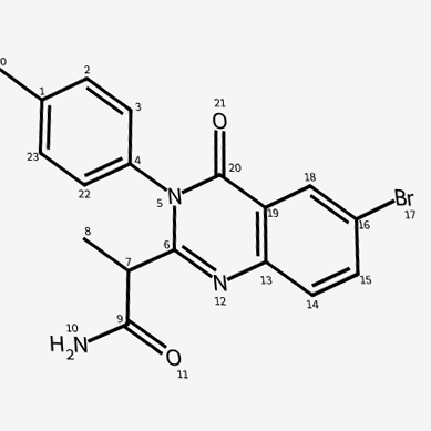 Cc1ccc(-n2c(C(C)C(N)=O)nc3ccc(Br)cc3c2=O)cc1